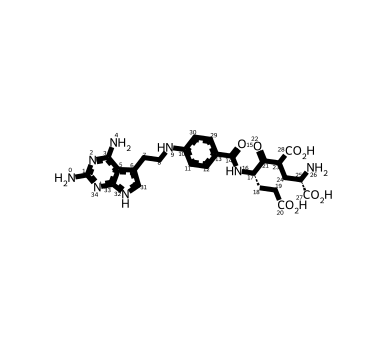 Nc1nc(N)c2c(CCNc3ccc(C(=O)N[C@@H](CCC(=O)O)C(=O)C(C[C@H](N)C(=O)O)C(=O)O)cc3)c[nH]c2n1